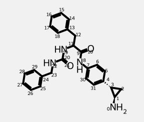 N[C@@H]1C[C@H]1c1ccc(NC(=O)C(Cc2ccccc2)NC(=O)NCc2ccccc2)cc1